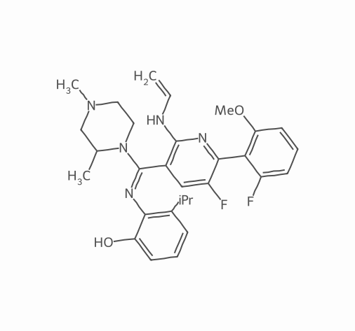 C=CNc1nc(-c2c(F)cccc2OC)c(F)cc1/C(=N\c1c(O)cccc1C(C)C)N1CCN(C)CC1C